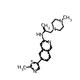 C=C(CN1CCN(C)CC1)Nc1cc2cc(-c3cnc(C)s3)ccc2cn1